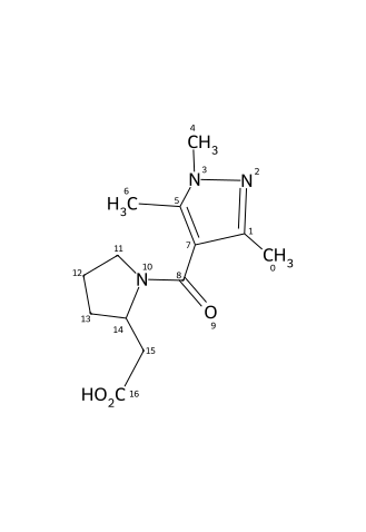 Cc1nn(C)c(C)c1C(=O)N1CCCC1CC(=O)O